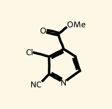 COC(=O)c1ccnc(C#N)c1Cl